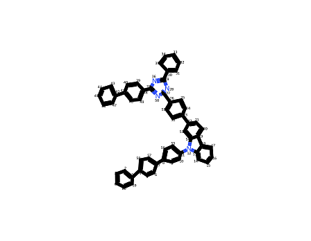 c1ccc(-c2ccc(-c3ccc(-n4c5ccccc5c5ccc(-c6ccc(-c7nc(-c8ccccc8)nc(-c8ccc(-c9ccccc9)cc8)n7)cc6)cc54)cc3)cc2)cc1